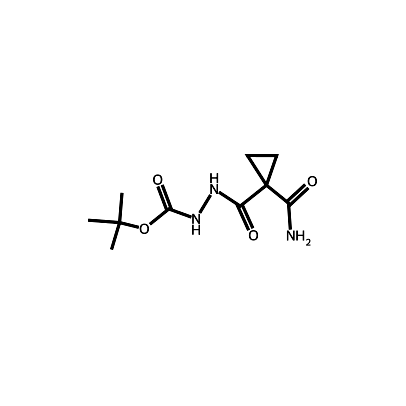 CC(C)(C)OC(=O)NNC(=O)C1(C(N)=O)CC1